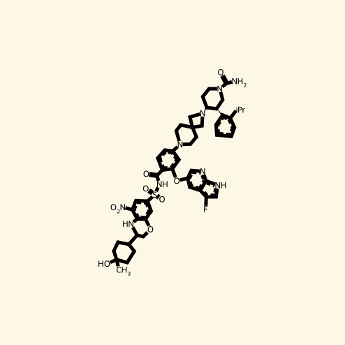 CC(C)c1ccccc1[C@H]1CN(C(N)=O)CC[C@H]1N1CC2(CCN(c3ccc(C(=O)NS(=O)(=O)c4cc5c(c([N+](=O)[O-])c4)NC(C4CCC(C)(O)CC4)CO5)c(Oc4cnc5[nH]cc(F)c5c4)c3)CC2)C1